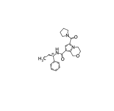 CC[C@@H](NC(=O)c1cc(C(=O)N2CCCC2)n2c1COCC2)c1ccccc1